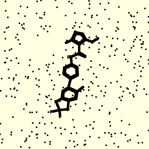 CCc1coc(C)c1C(=O)Nc1ccc(-c2cc3c(cc2C)OC(F)(F)O3)cc1